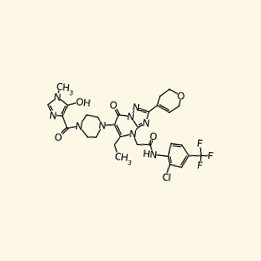 CCc1c(N2CCN(C(=O)c3ncn(C)c3O)CC2)c(=O)n2nc(C3=CCOCC3)nc2n1CC(=O)Nc1ccc(C(F)(F)F)cc1Cl